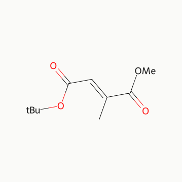 COC(=O)C(C)=CC(=O)OC(C)(C)C